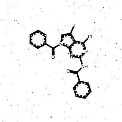 O=C(Nc1nc(Cl)c2c(I)cn(C(=O)c3ccccc3)c2n1)c1ccccc1